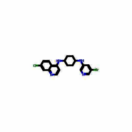 Clc1ccc2c(NC3CCC(Nc4cncc(Br)c4)CC3)ccnc2c1